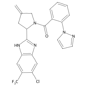 C=C1CC(c2nc3cc(Cl)c(C(F)(F)F)cc3[nH]2)N(C(=O)c2ccccc2-n2cccn2)C1